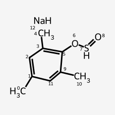 Cc1cc(C)c(O[SH]=O)c(C)c1.[NaH]